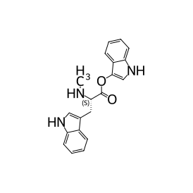 CN[C@@H](Cc1c[nH]c2ccccc12)C(=O)Oc1c[nH]c2ccccc12